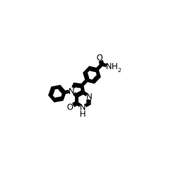 NC(=O)c1ccc(-c2cn(-c3ccccc3)c3c(=O)[nH]cnc23)cc1